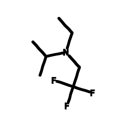 CCN(CC(F)(F)F)C(C)C